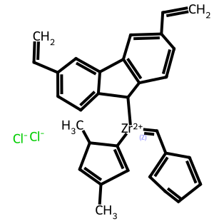 C=Cc1ccc2c(c1)-c1cc(C=C)ccc1[CH]2/[Zr+2](=[CH]/c1ccccc1)[C]1=CC(C)=CC1C.[Cl-].[Cl-]